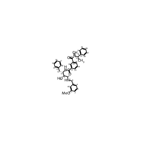 COc1cccc(CNC[C@@H](O)[C@H](Cc2ccccc2)NC(=O)c2cccc(C(=O)N(C)[C@H](C)c3ccccc3)c2)c1